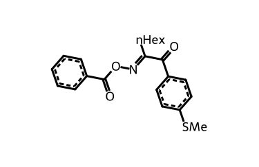 CCCCCC/C(=N\OC(=O)c1ccccc1)C(=O)c1ccc(SC)cc1